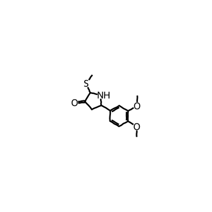 COc1ccc(C2CC(=O)C(SC)N2)cc1OC